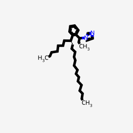 CCCCCCCCCCCCCCC[C@H](CCCCCCC)c1ccccc1C(CC)n1ccnc1